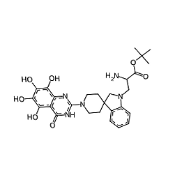 CC(C)(C)OC(=O)C(N)CN1CC2(CCN(c3nc4c(O)c(O)c(O)c(O)c4c(=O)[nH]3)CC2)c2ccccc21